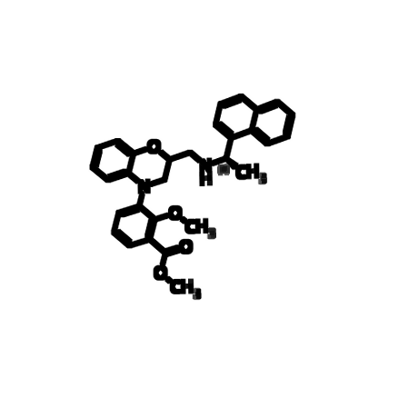 COC(=O)c1cccc(N2CC(CN[C@H](C)c3cccc4ccccc34)Oc3ccccc32)c1OC